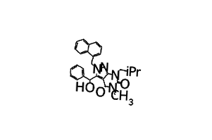 CC(C)Cn1c(=O)n(C)c(=O)c2c(C(O)c3ccccc3)n(Cc3cccc4ccccc34)nc21